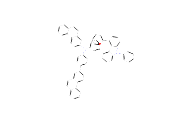 c1ccc(-c2cccc3c2c2c(-c4cccc(N(c5ccc(-c6ccc7c(ccc8ccccc87)c6)cc5)c5ccc6c(ccc7ccccc76)c5)c4)cccc2n3-c2ccccc2)cc1